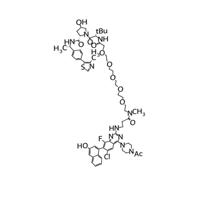 CC(=O)N1CCN(c2nc(NCCC(=O)N(C)CCOCCOCCOCCOCCOCC(=O)N[C@H](C(=O)N3C[C@H](O)C[C@H]3C(=O)N[C@@H](C)c3ccc(-c4scnc4C)cc3)C(C)(C)C)nc3c(F)c(-c4cc(O)cc5ccccc45)c(Cl)cc23)CC1